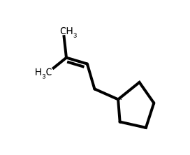 CC(C)=CC[C]1CCCC1